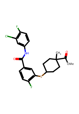 COC(=O)C1(C)CCC(Sc2cc(C(=O)Nc3ccc(F)c(Cl)c3)ccc2F)CC1